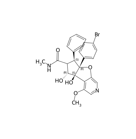 CNC(=O)C1[C@@H](O)[C@@]2(O)c3c(OC)cncc3O[C@@]2(c2ccc(Br)cc2)[C@@H]1c1ccccc1